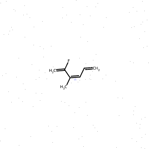 C=C/C=C(/C)C(=C)F